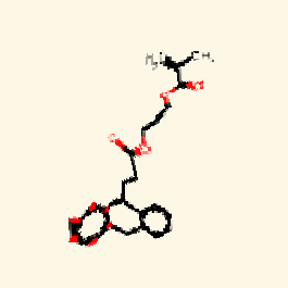 C=C(C)C(=O)OCCOC(=O)CCC12c3ccccc3C(c3ccccc31)c1ccccc12